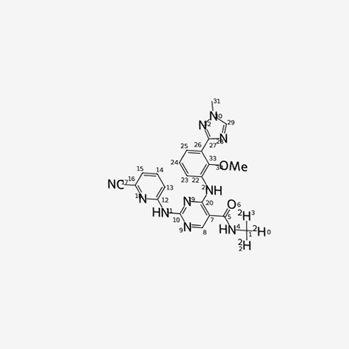 [2H]C([2H])([2H])NC(=O)c1cnc(Nc2cccc(C#N)n2)nc1Nc1cccc(-c2ncn(C)n2)c1OC